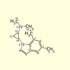 Cc1cc(C)c2c(ccn2C2CC2N(C)C)c1